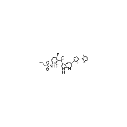 CCCS(=O)(=O)Nc1ccc(F)c(C(=O)c2c[nH]c3ncc(-c4ccc(-c5nccs5)s4)cc23)c1F